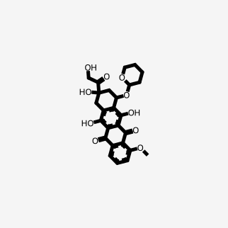 COc1cccc2c1C(=O)c1c(O)c3c(c(O)c1C2=O)CC(O)(C(=O)CO)CC3OC1CCCCO1